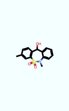 Cc1ccc2c(c1)S(=O)(=O)N(C)c1ccccc1C2O